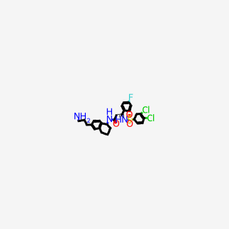 NCCCc1ccc2c(c1)CCCC2NC(=O)C[C@@H](NS(=O)(=O)C1C=CC(Cl)=C(Cl)C1)c1ccc(F)cc1